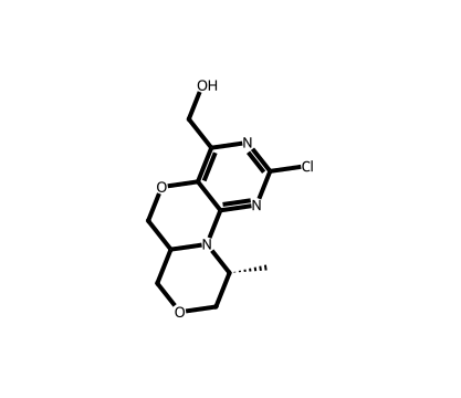 C[C@@H]1COCC2COc3c(CO)nc(Cl)nc3N21